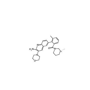 Cc1cccc(C(=O)N2CCC[C@@H](C)C2)c1-c1ccc2nc(N)c(N3CCOCC3)cc2c1